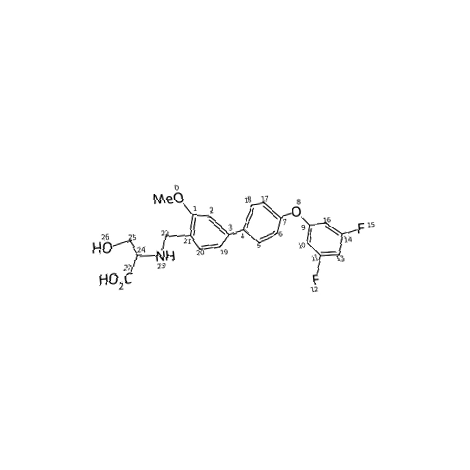 COc1cc(-c2ccc(Oc3cc(F)cc(F)c3)cc2)ccc1CNC(CO)C(=O)O